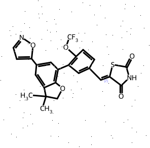 CC1(C)COc2c(-c3cc(/C=C4\SC(=O)NC4=O)ccc3OC(F)(F)F)cc(-c3ccno3)cc21